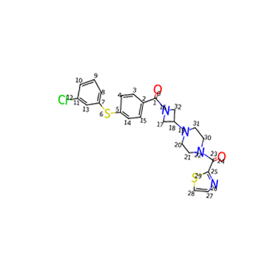 O=C(c1ccc(Sc2cccc(Cl)c2)cc1)N1CC(N2CCN(C(=O)c3nccs3)CC2)C1